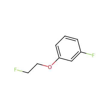 FCCOc1cccc(F)c1